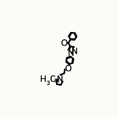 C[C@@H]1CCCN1CCCOc1ccc(-n2cc(C(=O)c3ccccc3)cn2)cc1